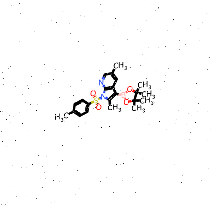 Cc1ccc(S(=O)(=O)n2c(C)c(B3OC(C)(C)C(C)(C)O3)c3cc(C)cnc32)cc1